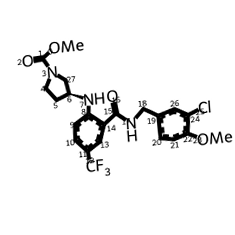 COC(=O)N1CC[C@H](Nc2ccc(C(F)(F)F)cc2C(=O)NCc2ccc(OC)c(Cl)c2)C1